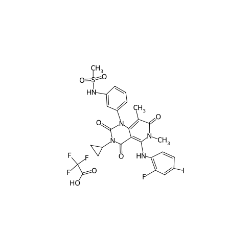 Cc1c(=O)n(C)c(Nc2ccc(I)cc2F)c2c(=O)n(C3CC3)c(=O)n(-c3cccc(NS(C)(=O)=O)c3)c12.O=C(O)C(F)(F)F